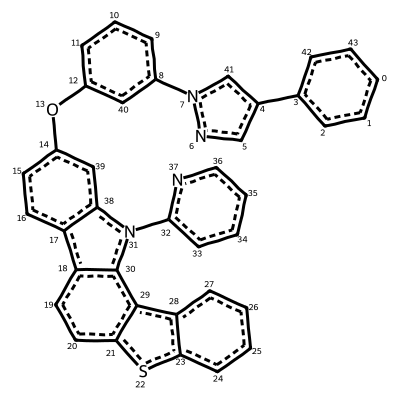 c1ccc(-c2cnn(-c3cccc(Oc4ccc5c6ccc7sc8ccccc8c7c6n(-c6ccccn6)c5c4)c3)c2)cc1